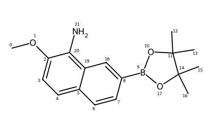 COc1ccc2ccc(B3OC(C)(C)C(C)(C)O3)cc2c1N